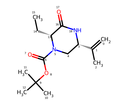 C=C(C)[C@@H]1CN(C(=O)OC(C)(C)C)[C@H](CC)C(=O)N1